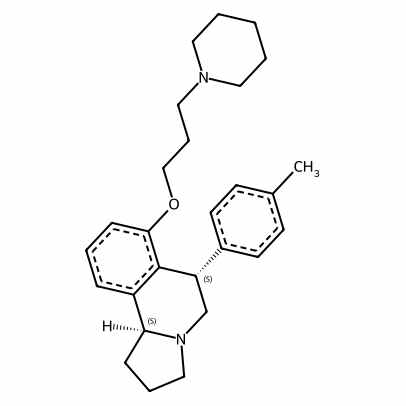 Cc1ccc([C@@H]2CN3CCC[C@H]3c3cccc(OCCCN4CCCCC4)c32)cc1